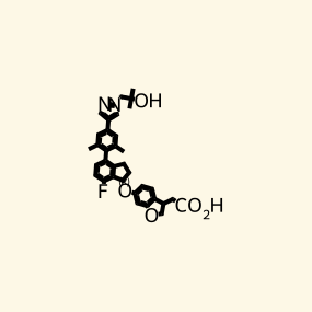 Cc1cc(-c2cnn(CC(C)(C)O)c2)cc(C)c1-c1ccc(F)c2c1CC[C@H]2Oc1ccc2c(c1)OCC2CC(=O)O